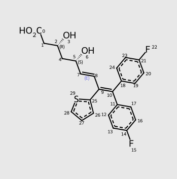 O=C(O)C[C@H](O)C[C@H](O)/C=C/C(=C(c1ccc(F)cc1)c1ccc(F)cc1)c1cccs1